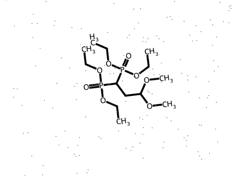 CCOP(=O)(OCC)C(CC(OC)OC)P(=O)(OCC)OCC